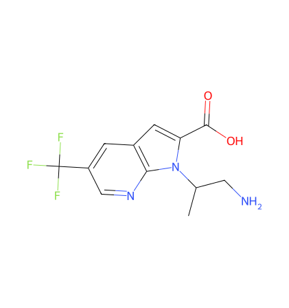 CC(CN)n1c(C(=O)O)cc2cc(C(F)(F)F)cnc21